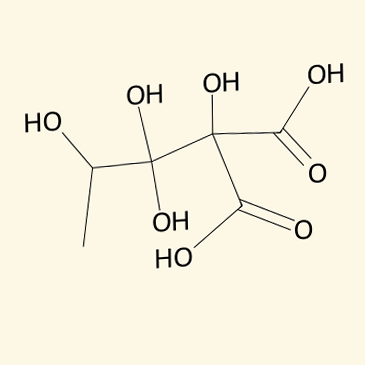 CC(O)C(O)(O)C(O)(C(=O)O)C(=O)O